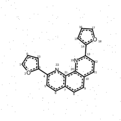 c1coc(-c2ccc3ccc4ccc(-c5ccco5)nc4c3n2)c1